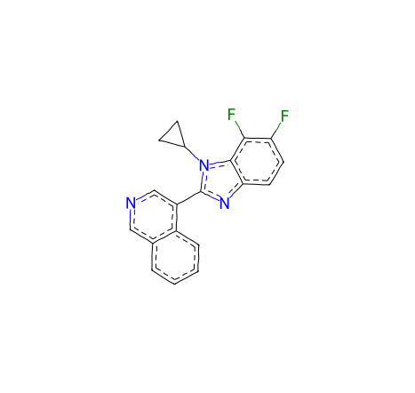 Fc1ccc2nc(-c3cncc4ccccc34)n(C3CC3)c2c1F